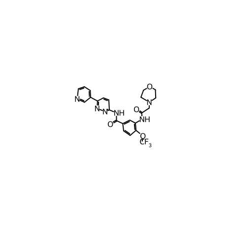 O=C(CN1CCOCC1)Nc1cc(C(=O)Nc2ccc(-c3cccnc3)nn2)ccc1OC(F)(F)F